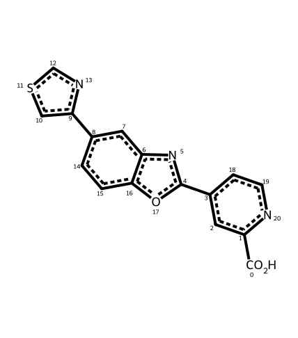 O=C(O)c1cc(-c2nc3cc(-c4cscn4)ccc3o2)ccn1